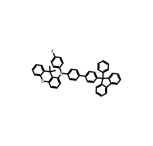 CC1(C)c2ccccc2Oc2cccc(N(c3ccc(F)cc3)c3ccc(-c4ccc(C5(c6ccccc6)c6ccccc6-c6ccccc65)cc4)cc3)c21